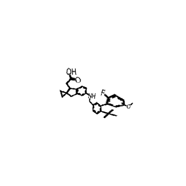 COc1ccc(F)c(-c2cc(CNc3ccc4c(c3)CC3(CC3)C4CC(=O)O)ccc2C(C)(C)C)c1